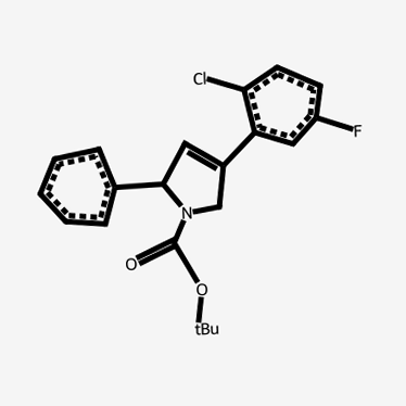 CC(C)(C)OC(=O)N1CC(c2cc(F)ccc2Cl)=CC1c1ccccc1